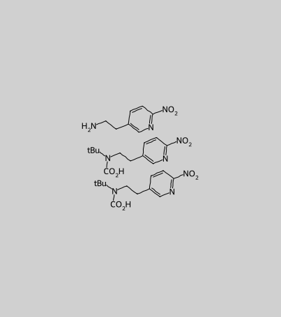 CC(C)(C)N(CCc1ccc([N+](=O)[O-])nc1)C(=O)O.CC(C)(C)N(CCc1ccc([N+](=O)[O-])nc1)C(=O)O.NCCc1ccc([N+](=O)[O-])nc1